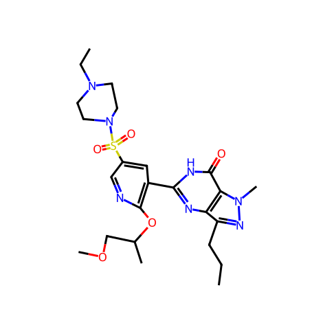 CCCc1nn(C)c2c(=O)[nH]c(-c3cc(S(=O)(=O)N4CCN(CC)CC4)cnc3OC(C)COC)nc12